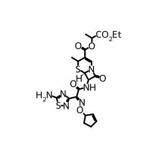 CCOC(=O)C(C)OC(=O)C1=CN2C(=O)C(NC(=O)C(=NOC3C=CCC3)c3nsc(N)n3)[C@H]2SC1C